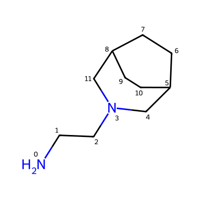 NCCN1CC2CCC(CC2)C1